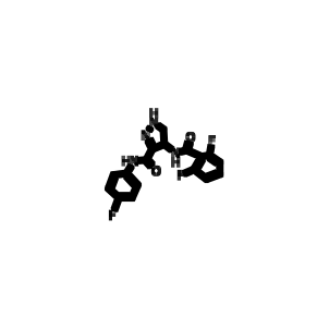 O=C(Nc1ccc(F)cc1)C1=NNCC1NC(=O)c1c(F)cccc1F